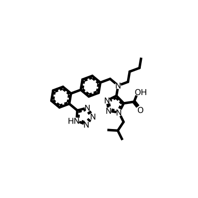 CCCCN(Cc1ccc(-c2ccccc2-c2nnn[nH]2)cc1)c1nnn(CC(C)C)c1C(=O)O